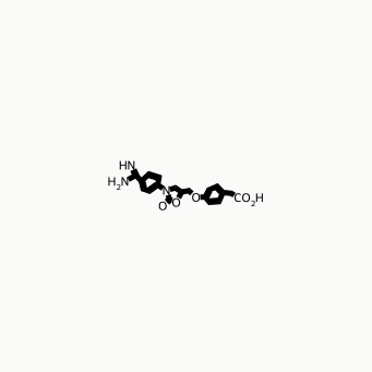 N=C(N)c1ccc(N2CC(COc3ccc(CC(=O)O)cc3)OC2=O)cc1